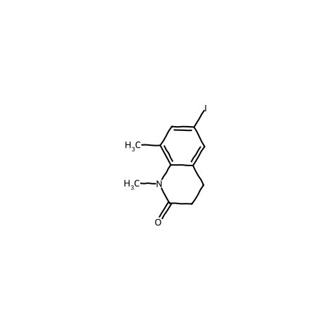 Cc1cc(I)cc2c1N(C)C(=O)CC2